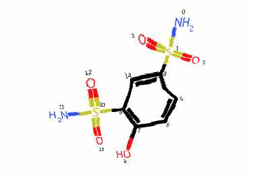 NS(=O)(=O)c1ccc(O)c(S(N)(=O)=O)c1